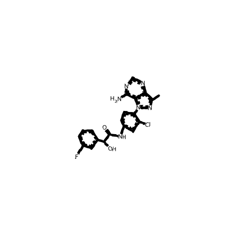 Cc1nn(-c2ccc(NC(=O)C(O)c3cccc(F)c3)cc2Cl)c2c(N)ncnc12